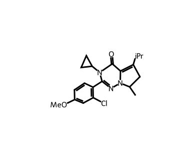 COc1ccc(C2=NN3C(=C(C(C)C)CC3C)C(=O)N2C2CC2)c(Cl)c1